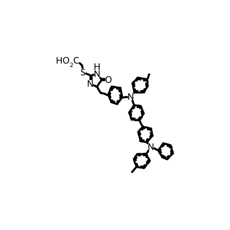 Cc1ccc(N(c2ccccc2)c2ccc(-c3ccc(N(c4ccc(C)cc4)c4ccc(CC5N=C(SCC(=O)O)NC5=O)cc4)cc3)cc2)cc1